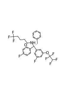 O=C(CCCC(F)(F)F)N[C@](Cc1ccccc1)(c1ccc(F)cc1)c1cc(F)cc(OC(F)(F)C(F)F)c1